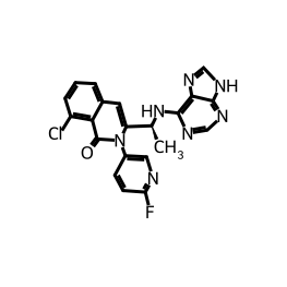 C[C@H](Nc1ncnc2[nH]cnc12)c1cc2cccc(Cl)c2c(=O)n1-c1ccc(F)nc1